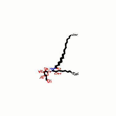 CCCCCCCCCCCCC/C=C/[C@@H](O)[C@H](COC1OC(CO)C(O)C(O)C1O)NC(=O)CCCCCCCCCCCCCCCCCCCCCCCCC